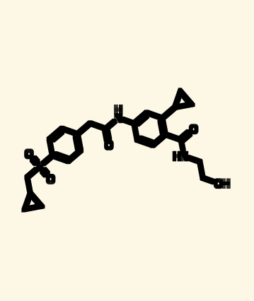 O=C(Cc1ccc(S(=O)(=O)CC2CC2)cc1)Nc1ccc(C(=O)NCCO)c(C2CC2)c1